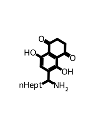 CCCCCCCC(N)c1cc(O)c2c(c1O)C(=O)CCC2=O